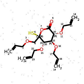 C=CCOC[C@]1(S)OC(=O)[C@H](OCC=C)[C@@H](OCC=C)[C@@H]1OCC=C